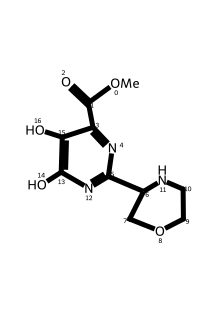 COC(=O)c1nc(C2COCCN2)nc(O)c1O